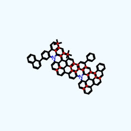 CC(C)(C)c1cc(N(c2cc(-c3cccc4ccccc34)ccc2-c2ccccc2)c2ccccc2-c2cccc3cccc(-c4ccccc4-c4ccc(N(c5cc(-c6cccc7ccccc67)ccc5-c5ccccc5)c5ccccc5-c5cccc6cccc(-c7ccccc7)c56)c(-c5ccc(-c6ccccc6)cc5)c4)c23)cc(C(C)(C)C)c1